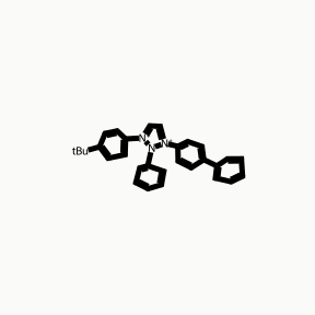 CC(C)(C)c1ccc(-[n+]2cc[n+](-c3ccc(-c4ccccc4)cc3)n2-c2ccccc2)cc1